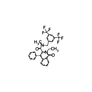 CCn1c(C(=O)N(C)Cc2cc(C(F)(F)F)cc(C(F)(F)F)c2)c(-c2ccccc2)c2ccccc2c1=O